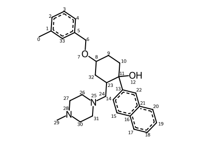 Cc1cccc(COC2CCC(O)(c3ccc4ccccc4c3)C(CN3CCN(C)CC3)C2)c1